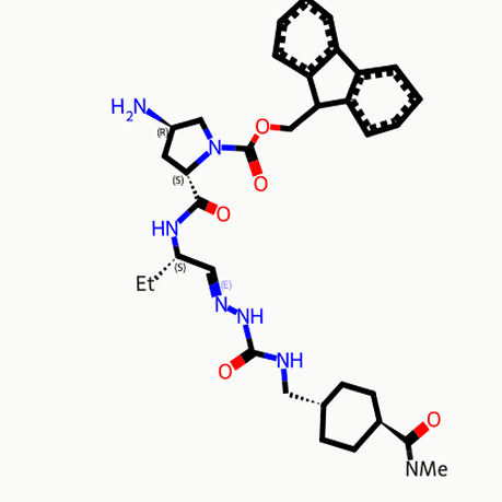 CC[C@@H](/C=N/NC(=O)NC[C@H]1CC[C@H](C(=O)NC)CC1)NC(=O)[C@@H]1C[C@@H](N)CN1C(=O)OCC1c2ccccc2-c2ccccc21